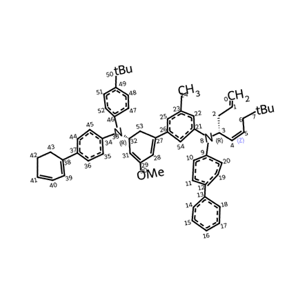 C=CC[C@H](/C=C\CC(C)(C)C)N(c1ccc(-c2ccccc2)cc1)c1cc(C)cc(C2=CC(OC)=C[C@H](N(c3ccc(C4=CC=CCC4)cc3)c3ccc(C(C)(C)C)cc3)C2)c1